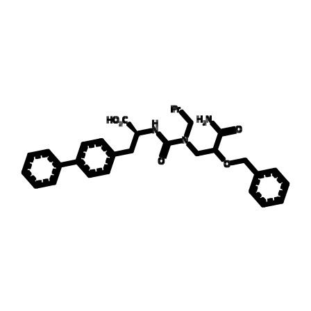 CC(C)CN(CC(OCc1ccccc1)C(N)=O)C(=O)N[C@@H](Cc1ccc(-c2ccccc2)cc1)C(=O)O